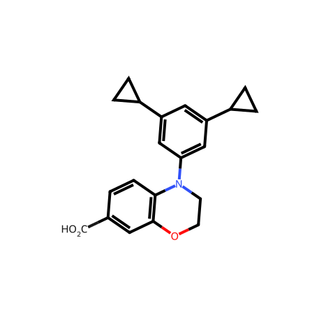 O=C(O)c1ccc2c(c1)OCCN2c1cc(C2CC2)cc(C2CC2)c1